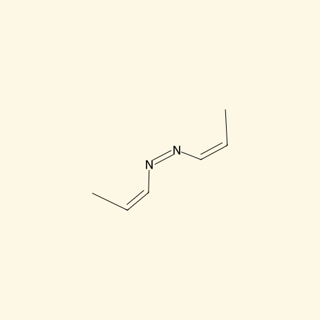 C\C=C/N=N\C=C/C